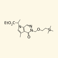 CCOC(=O)C(C)n1cc(C)c2c(=O)n(COCC[Si](C)(C)C)ncc21